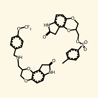 Cc1ccc(S(=O)(=O)OCC2COc3ccc4c(c3O2)CC(=O)N4)cc1.O=C1Cc2c(ccc3c2OC(CNCc2ccc(OC(F)(F)F)cc2)CO3)N1